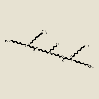 CCCCCCCCOC(CCC(=O)OCCCCCN(CCCCO)CCCCCOC(=O)CCC(OCCCCCCCC)OCCCCCCCC)OCCCCCCCC